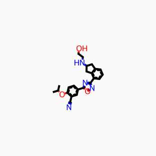 CC(C)Oc1ccc(-c2nc(-c3cccc4c3CC(NCCO)C4)no2)cc1C#N